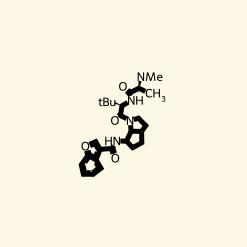 CN[C@@H](C)C(=O)N[C@H](C(=O)N1CCC2CCC(NC(=O)c3coc4ccccc34)C21)C(C)(C)C